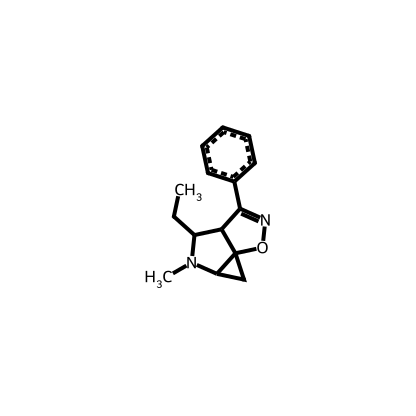 CCC1C2C(c3ccccc3)=NOC23CC3N1C